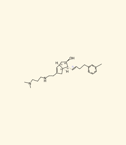 Cc1cccc(CC/C=C/[C@@H]2[C@H]3CC(CCNCCCN(C)C)=C[C@H]3C[C@H]2O)c1